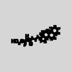 CC(NC(=O)CCCC1CCC2C3CCC4CCCCC4(C)C3CCC12C)C(=O)O